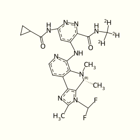 [2H]C([2H])([2H])NC(=O)c1nnc(NC(=O)C2CC2)cc1Nc1nccc2c1N(C)[C@H](C)c1c-2nc(C)n1C(F)F